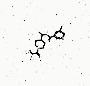 Cc1cncc(C(=O)NC(C)C2CCN(C(=O)[C@H](C)N)CC2)c1